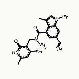 CCCc1cc(C)[nH]c(=O)c1CN(N)C(=O)c1cc(C=N)cc2c1c(C)cn2C(C)C